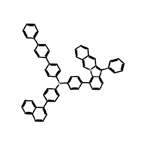 c1ccc(-c2ccc(-c3ccc(N(c4ccc(-c5cccc6ccccc56)cc4)c4ccc(-c5cccc6c(-c7ccccc7)c7cc8ccccc8cn7c56)cc4)cc3)cc2)cc1